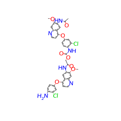 COc1cc2nccc(Oc3ccc(NC(=O)OCC(=O)Nc4cc5c(Oc6ccc(N)c(Cl)c6)ccnc5cc4OC)c(Cl)c3)c2cc1NC(C)=O